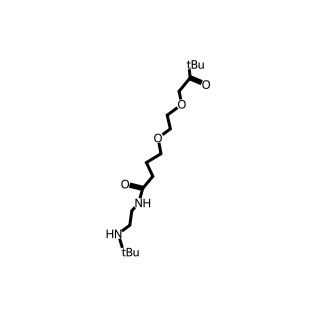 CC(C)(C)NCCNC(=O)CCCOCCOCC(=O)C(C)(C)C